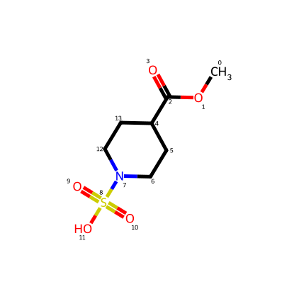 COC(=O)C1CCN(S(=O)(=O)O)CC1